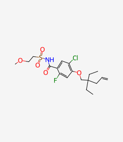 C=CCC(CC)(CC)COc1cc(F)c(C(=O)NS(=O)(=O)CCOC)cc1Cl